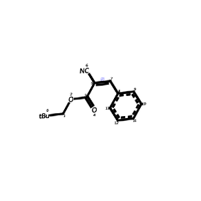 CC(C)(C)COC(=O)/C(C#N)=C\c1ccccc1